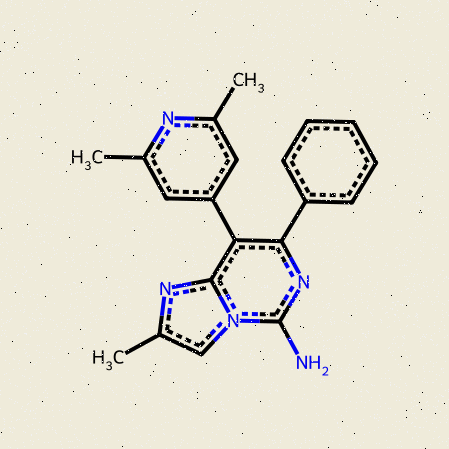 Cc1cc(-c2c(-c3ccccc3)nc(N)n3cc(C)nc23)cc(C)n1